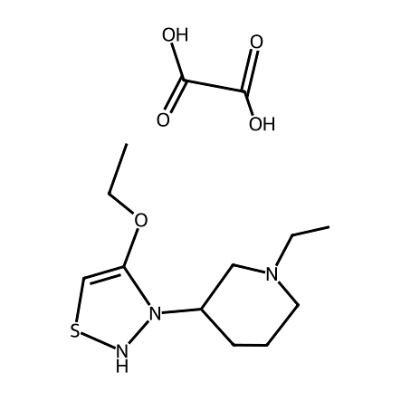 CCOC1=CSNN1C1CCCN(CC)C1.O=C(O)C(=O)O